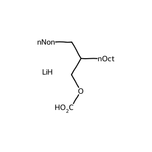 CCCCCCCCCCC(CCCCCCCC)COC(=O)O.[LiH]